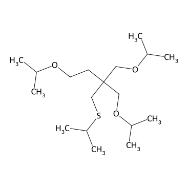 CC(C)OCCC(COC(C)C)(COC(C)C)CSC(C)C